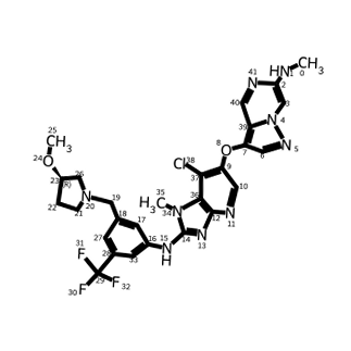 CNc1cn2ncc(Oc3cnc4nc(Nc5cc(CN6CC[C@@H](OC)C6)cc(C(F)(F)F)c5)n(C)c4c3Cl)c2cn1